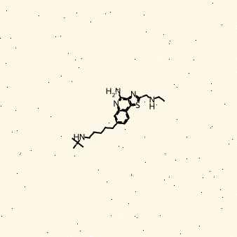 CCNCc1nc2c(N)nc3cc(CCCCCNC(C)(C)C)ccc3c2s1